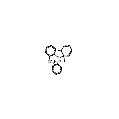 CC1C=CC=CC1(C)[P@](c1ccccc1)c1ccccc1C(=O)O